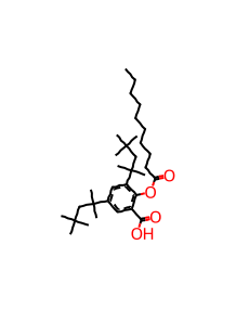 CCCCCCCCCC(=O)Oc1c(C(=O)O)cc(C(C)(C)CC(C)(C)C)cc1C(C)(C)CC(C)(C)C